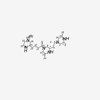 CC1CN([C@@H](C)CC2CN([C@H](C)CCCC3CN(C(C)C)CCN3)CC(C)N2)CC(C)N1